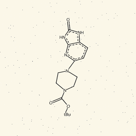 CC(C)(C)OC(=O)N1CCN(c2ccc3[nH]c(=O)[nH]c3n2)CC1